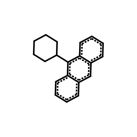 [c]1c2ccccc2c(C2CCCCC2)c2ccccc12